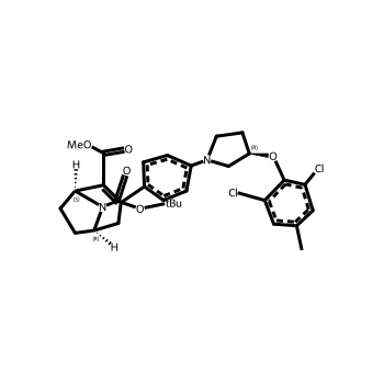 COC(=O)C1=C(c2ccc(N3CC[C@@H](Oc4c(Cl)cc(C)cc4Cl)C3)cc2)C[C@H]2CC[C@@H]1N2C(=O)OC(C)(C)C